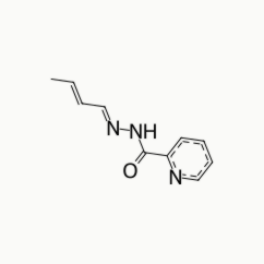 CC=CC=NNC(=O)c1ccccn1